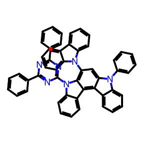 c1ccc(-c2nc(-c3ccccc3)nc(-n3c4ccccc4c4c5c6ccccc6n(-c6ccccc6)c5cc(-n5c6ccccc6c6ccccc65)c43)n2)cc1